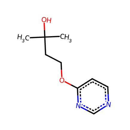 CC(C)(O)CCOc1ccncn1